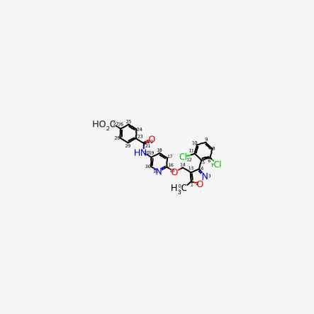 Cc1onc(-c2c(Cl)cccc2Cl)c1COc1ccc(NC(=O)c2ccc(C(=O)O)cc2)cn1